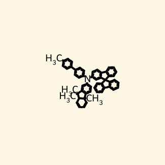 Cc1ccc(-c2ccc(N(c3ccc4c(c3)C3(c5ccccc5-c5ccccc53)c3ccccc3-4)c3ccc4c(c3)C(C)(C)C3C=CC=CC43C)cc2)cc1